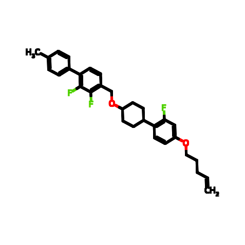 C=CCCCOc1ccc(C2CCC(OCc3ccc(-c4ccc(C)cc4)c(F)c3F)CC2)c(F)c1